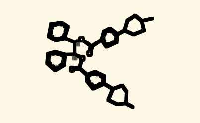 CC1CCC(c2ccc(C(=O)O[C@@H](c3ccccc3)[C@@H](OC(=O)c3ccc(C4CCC(C)CC4)cc3)c3ccccc3)cc2)CC1